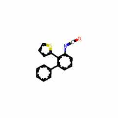 O=C=Nc1cccc(-c2ccccc2)c1-c1cccs1